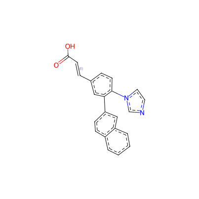 O=C(O)/C=C/c1ccc(-n2ccnc2)c(-c2ccc3ccccc3c2)c1